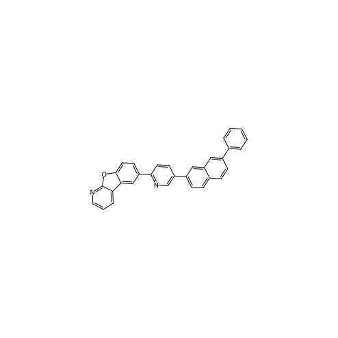 c1ccc(-c2ccc3ccc(-c4ccc(-c5ccc6oc7ncccc7c6c5)nc4)cc3c2)cc1